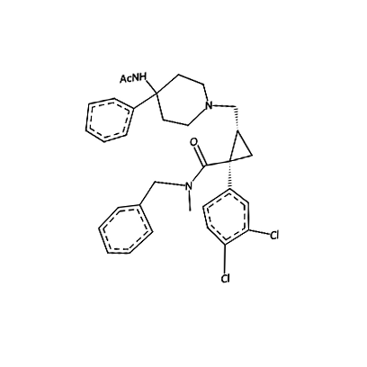 CC(=O)NC1(c2ccccc2)CCN(C[C@@H]2C[C@]2(C(=O)N(C)Cc2ccccc2)c2ccc(Cl)c(Cl)c2)CC1